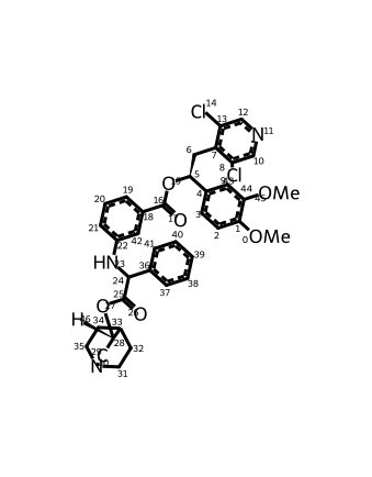 COc1ccc([C@H](Cc2c(Cl)cncc2Cl)OC(=O)c2cccc(NC(C(=O)O[C@H]3CN4CCC3CC4)c3ccccc3)c2)cc1OC